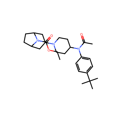 CCOC(=O)N1C2CCC1CC(N1CCC(N(C(C)=O)c3ccc(C(C)(C)C)cc3)CC1)C2